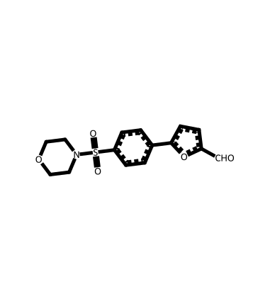 O=Cc1ccc(-c2ccc(S(=O)(=O)N3CCOCC3)cc2)o1